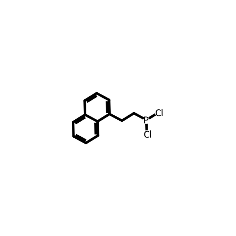 ClP(Cl)CCc1cccc2ccccc12